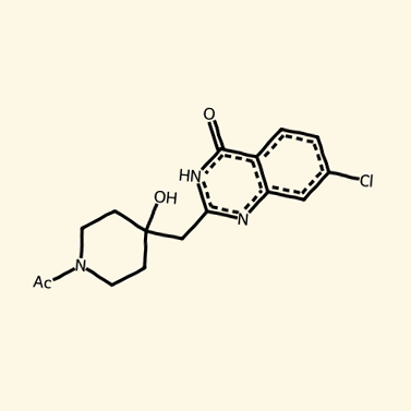 CC(=O)N1CCC(O)(Cc2nc3cc(Cl)ccc3c(=O)[nH]2)CC1